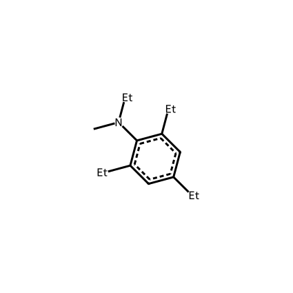 CCc1cc(CC)c(N(C)CC)c(CC)c1